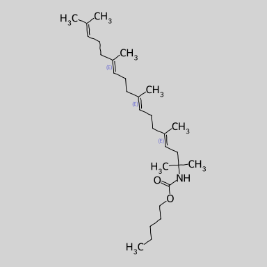 CCCCCOC(=O)NC(C)(C)C/C=C(\C)CC/C=C(\C)CC/C=C(\C)CCC=C(C)C